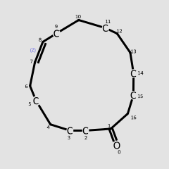 O=C1CCCCC/C=C\CCCCCCCC1